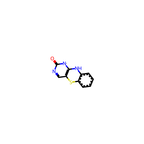 O=C1[N]C2=C(C=N1)Sc1ccccc1N2